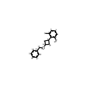 Cc1cccc(F)c1C1CC(OCc2ccccc2)C1